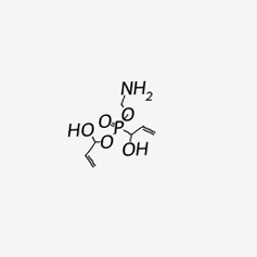 C=CC(O)OP(=O)(OCN)C(O)C=C